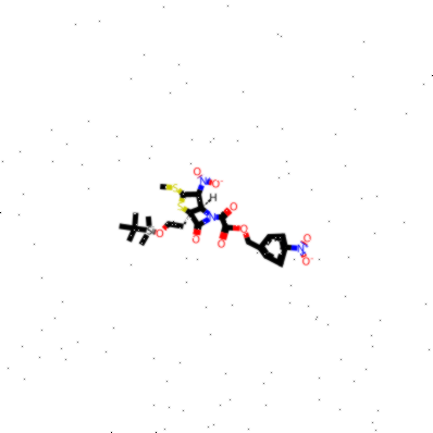 CSC1S[C@]2(CCO[Si](C)(C)C(C)(C)C)C(=O)N(C(=O)C(=O)OCc3ccc([N+](=O)[O-])cc3)[C@@H]2C1[N+](=O)[O-]